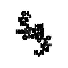 Cc1nnc(SCC2(C(=O)O)CS[C@@H]3C(NC(=O)C(=O)c4csc(N)n4)C(=O)N3C2)s1.Cl